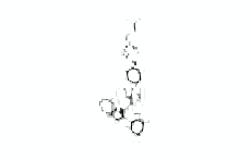 CC(C)=CCN1CCN(c2ccc(NC(=O)C(=O)c3c(-c4ccccc4)cc4n3CCCC4)cc2)CC1